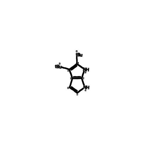 CC(C)(C)c1[nH]c2[nH]ccc2c1C(C)(C)C